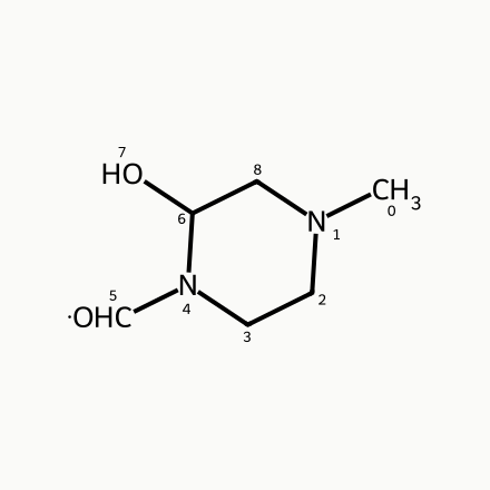 CN1CCN([C]=O)C(O)C1